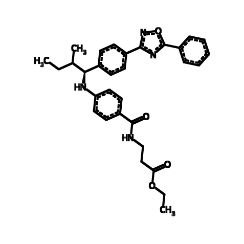 CCOC(=O)CCNC(=O)c1ccc(N[C@H](c2ccc(-c3noc(-c4ccccc4)n3)cc2)C(C)CC)cc1